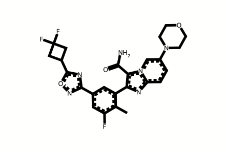 Cc1c(F)cc(-c2noc(C3CC(F)(F)C3)n2)cc1-c1nc2ccc(N3CCOCC3)cn2c1C(N)=O